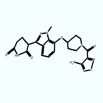 Cn1nc(C2CCC(=O)NC2=O)c2cccc(OC3CCN(C(=O)c4nonc4N)CC3)c21